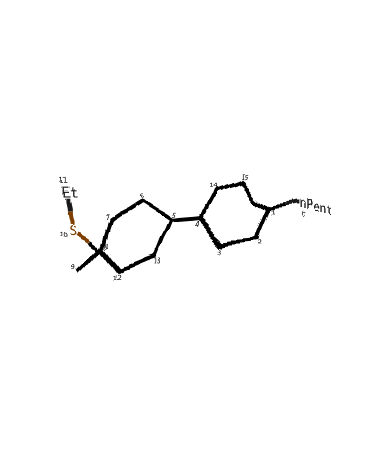 CCCCCC1CCC(C2CCC(C)(SCC)CC2)CC1